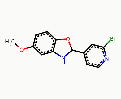 COc1ccc2c(c1)NC(c1ccnc(Br)c1)O2